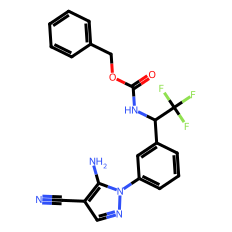 N#Cc1cnn(-c2cccc(C(NC(=O)OCc3ccccc3)C(F)(F)F)c2)c1N